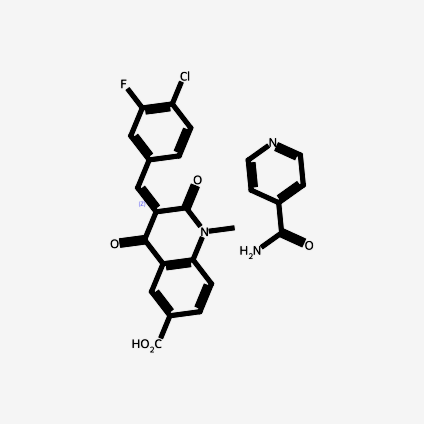 CN1C(=O)/C(=C\c2ccc(Cl)c(F)c2)C(=O)c2cc(C(=O)O)ccc21.NC(=O)c1ccncc1